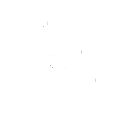 CS(=O)(=O)N(CCCc1cccc(Cl)c1)CCCc1ccc(C(=O)O)s1.[NaH]